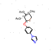 CC(=O)O[C@@H]1[C@@H](OC(C)=O)[C@H](OC(C)=O)CS[C@H]1Oc1ccc(-n2ccnc2)cc1